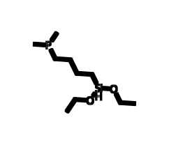 CCO[SiH](CCCCP(C)C)OCC